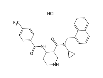 Cl.O=C(NC1CCNCC1C(=O)N(Cc1cccc2ccccc12)C1CC1)c1ccc(C(F)(F)F)cc1